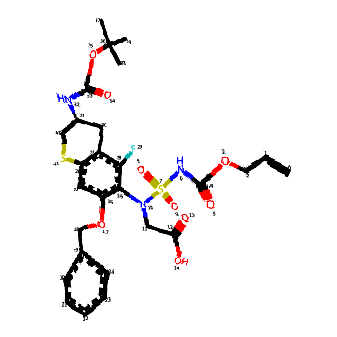 C=CCOC(=O)NS(=O)(=O)N(CC(=O)O)c1c(OCc2ccccc2)cc2c(c1F)C[C@H](NC(=O)OC(C)(C)C)CS2